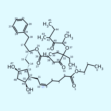 CCCOC(=O)CCC/C=C\C[C@@H]1[C@@H](CC[C@H](CCc2ccccc2)OC(=O)CCC(=O)C(CC)(CC)OC(C)C(=O)C(C)CC)[C@H](O)C[C@@H]1O